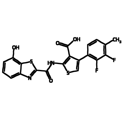 Cc1ccc(-c2csc(NC(=O)c3nc4cccc(O)c4s3)c2C(=O)O)c(F)c1F